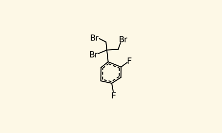 Fc1ccc(C(Br)(CBr)CBr)c(F)c1